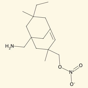 CCC1(C)CC2=CC(C)(CO[N+](=O)[O-])CC(CN)(C2)C1